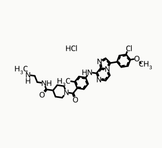 CNCCNC(=O)C1CCN(C(=O)c2ccc(Nc3nccn4c(-c5ccc(OC)c(Cl)c5)cnc34)cc2C)CC1.Cl